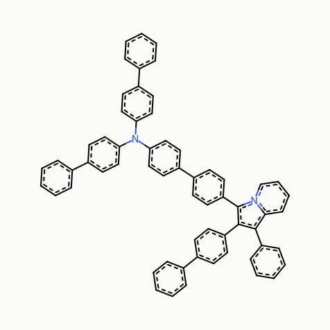 c1ccc(-c2ccc(-c3c(-c4ccccc4)c4ccccn4c3-c3ccc(-c4ccc(N(c5ccc(-c6ccccc6)cc5)c5ccc(-c6ccccc6)cc5)cc4)cc3)cc2)cc1